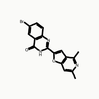 Cc1cc2oc(-c3nc4ccc(Br)cc4c(=O)[nH]3)cc2c(C)n1